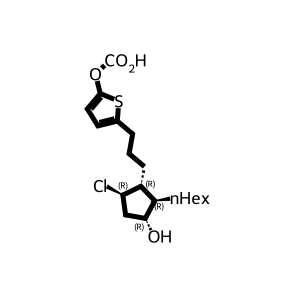 CCCCCC[C@@H]1[C@@H](CCCc2ccc(OC(=O)O)s2)[C@H](Cl)C[C@H]1O